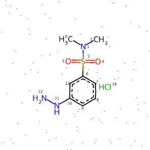 CN(C)S(=O)(=O)c1cccc(NN)c1.Cl